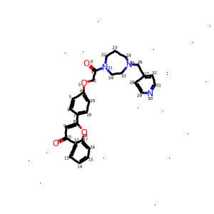 O=C(COc1ccc(-c2cc(=O)c3ccccc3o2)cc1)N1CCCN(Cc2ccncc2)CC1